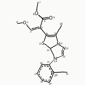 COC=C(C(=O)OC)C1=C(C)N2N=CN(c3ccccc3C)C2S1